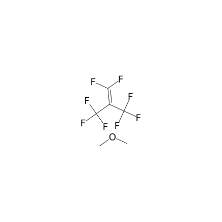 COC.FC(F)=C(C(F)(F)F)C(F)(F)F